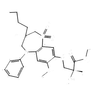 CCCC[C@]1(C)CN(c2ccccc2)c2cc(SC)c(OC[C@@](C)(O)C(=O)OC)cc2S(=O)(=O)C1